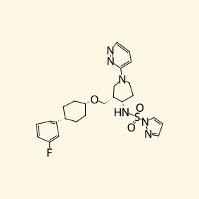 O=S(=O)(N[C@H]1CCN(c2cccnn2)C[C@H]1CO[C@H]1CC[C@@H](c2cccc(F)c2)CC1)n1cccn1